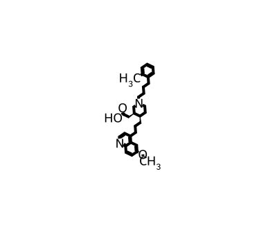 COc1ccc2nccc(CCC[C@@H]3CCN(CCCCc4ccccc4C)C[C@@H]3CC(=O)O)c2c1